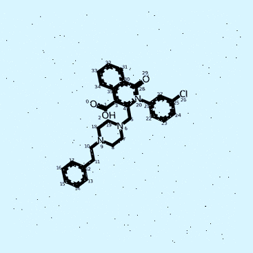 O=C(O)c1c(CN2CCN(CCc3ccccc3)CC2)n(-c2cccc(Cl)c2)c(=O)c2ccccc12